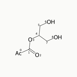 CC(=O)C(=O)OC(CO)CO